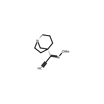 C#C/C(=N/OC)[C@]12CCC[N@@](CC1)C2